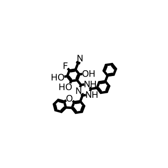 N#Cc1c(O)c(C2N=C(c3cccc4c3oc3ccccc34)NC(c3cccc(-c4ccccc4)c3)N2)c(O)c(O)c1F